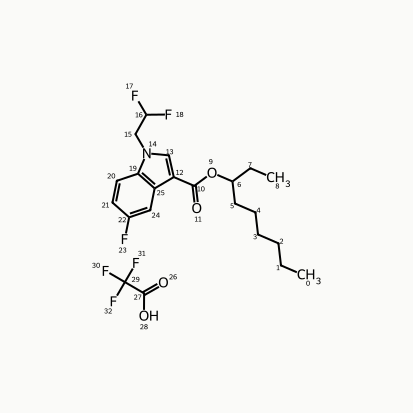 CCCCCCC(CC)OC(=O)c1cn(CC(F)F)c2ccc(F)cc12.O=C(O)C(F)(F)F